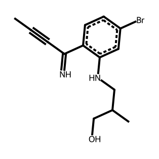 CC#CC(=N)c1ccc(Br)cc1NCC(C)CO